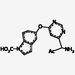 CC(=O)C(N)c1cc(Oc2ccc3c(ccn3C(=O)O)c2)ncn1